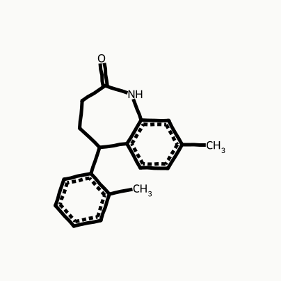 Cc1ccc2c(c1)NC(=O)CCC2c1ccccc1C